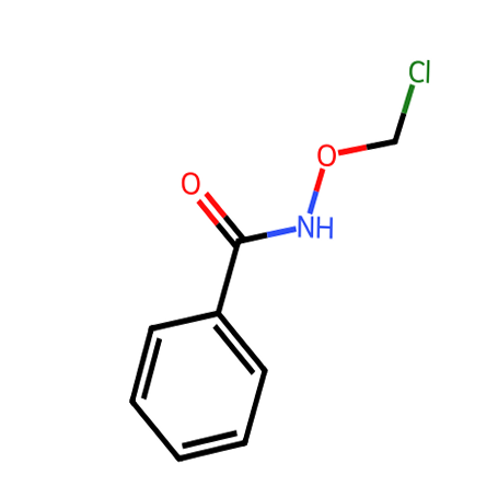 O=C(NOCCl)c1ccccc1